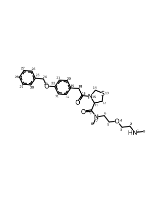 CNCCOCCN(C)C(=O)C1CSCN1C(=O)Cc1ccc(OCc2ccccc2)cc1